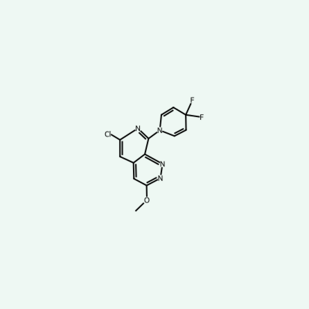 COc1cc2cc(Cl)nc(N3C=CC(F)(F)C=C3)c2nn1